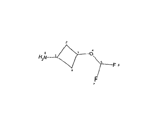 NC1CC(OC(F)F)C1